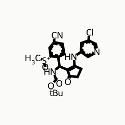 C[S+]([O-])c1cc(C#N)ccc1C(NC(=O)OC(C)(C)C)C1=C(Nc2cncc(Cl)c2)CCC1=O